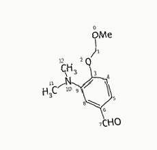 COCOc1ccc(C=O)cc1N(C)C